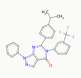 CC(C)c1ccc(-c2nc3c(cnn3-c3ccccc3)c(=O)n2-c2cccc(C(F)(F)F)c2)cc1